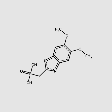 COc1cc2nc(CP(=O)(O)O)sc2cc1OC